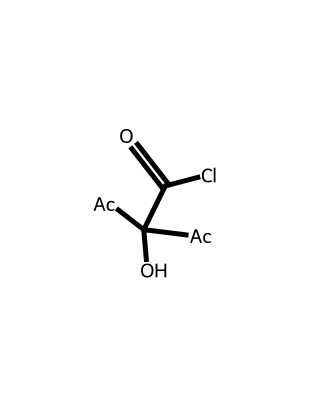 CC(=O)C(O)(C(C)=O)C(=O)Cl